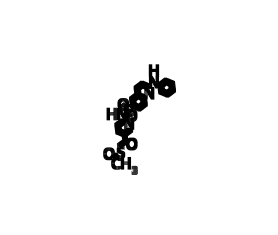 CC(=O)SCC(=O)c1ccc(NS(=O)(=O)c2ccc3nc(Nc4ccccc4)ccc3c2)nc1